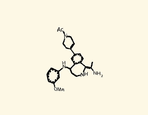 COc1cccc(NC2CCN/C(=C(/C)N)c3ccc(C4=CCN(C(C)=O)CC4)cc32)c1